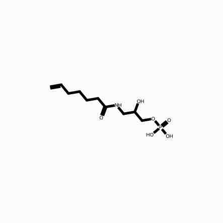 C=CCCCCC(=O)NCC(O)COP(=O)(O)O